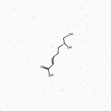 O=C(O)C=CCCC(O)CO